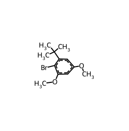 COc1cc(OC)c(Br)c(C(C)(C)C)c1